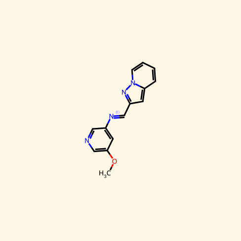 COc1cncc(/N=C/c2cc3ccccn3n2)c1